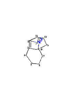 [N-]=[N+]1C2=C3CCCCC31CCC2